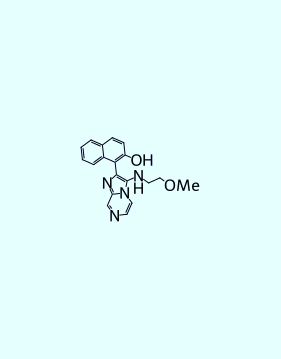 COCCNc1c(-c2c(O)ccc3ccccc23)nc2cnccn12